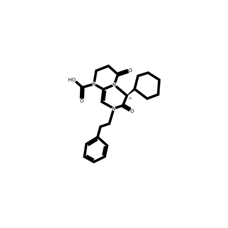 O=C1[C@H](C2CCCCC2)N2C(=O)CCN(C(=O)O)C2=CN1CCc1ccccc1